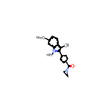 CCCn1c(-c2ccc(C(=O)N3CC3)cc2)c(C#N)c2ccc(OC)cc21